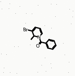 CC1C(Br)=CC=CN1C(=O)c1ccccc1